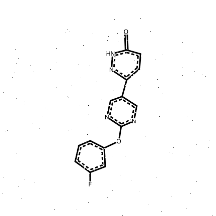 O=c1ccc(-c2cnc(Oc3cccc(F)c3)nc2)n[nH]1